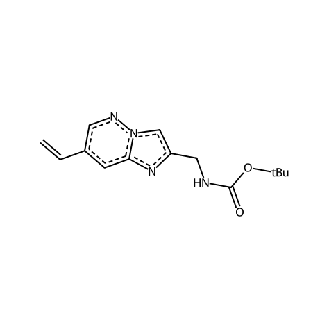 C=Cc1cnn2cc(CNC(=O)OC(C)(C)C)nc2c1